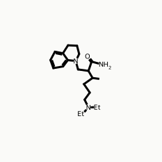 CCN(CC)CCCC(C)C(CN1CCCc2ccccc21)C(N)=O